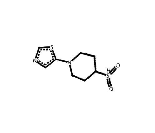 O=[SH](=O)C1CCN(c2cncs2)CC1